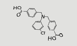 O=C(O)c1ccc(CN(Cc2ccc(C(=O)O)cc2)c2cccc(Cl)c2)cc1